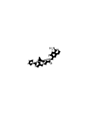 Nc1nccc2cc(CNC(=O)c3cn(Cc4cnc(N5CCCC5)nc4)c(C4CC4)n3)c(F)cc12